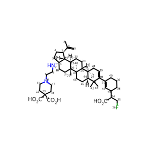 C=C(C)[C@@H]1CC[C@]2(NCCN3CCC(C(=O)O)(C(=O)O)CC3)CC[C@]3(C)[C@H](CC[C@@H]4[C@@]5(C)CC=C(C6=CC(C(CF)C(=O)O)CCC6)C(C)(C)[C@@H]5CC[C@]43C)[C@@H]12